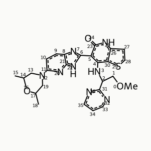 COCC(Nc1c(-c2nc3ccc(N4CC(C)OC(C)C4)nc3[nH]2)c(=O)[nH]c2ccsc12)c1ncccn1